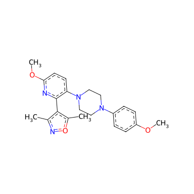 COc1ccc(N2CCN(c3ccc(OC)nc3-c3c(C)noc3C)CC2)cc1